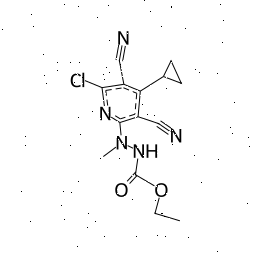 CCOC(=O)NN(C)c1nc(Cl)c(C#N)c(C2CC2)c1C#N